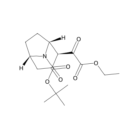 CCOC(=O)C(=O)[C@H]1C(=O)C[C@@H]2CC[C@H]1N2C(=O)OC(C)(C)C